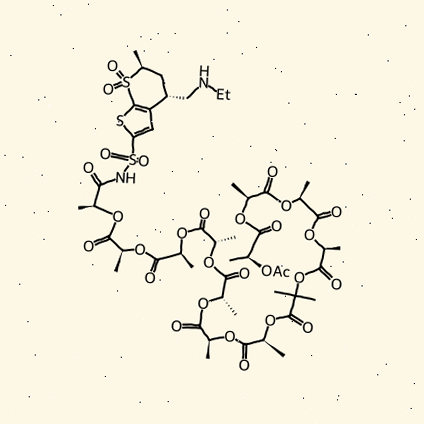 CCNC[C@H]1C[C@H](C)S(=O)(=O)c2sc(S(=O)(=O)NC(=O)[C@H](C)OC(=O)[C@H](C)OC(=O)[C@H](C)OC(=O)[C@H](C)OC(=O)[C@H](C)OC(=O)[C@H](C)OC(=O)[C@H](C)OC(=O)C(C)(C)OC(=O)[C@H](C)OC(=O)[C@H](C)OC(=O)[C@H](C)OC(=O)[C@H](C)OC(C)=O)cc21